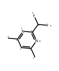 Cc1cc(C)nc(C(F)F)n1